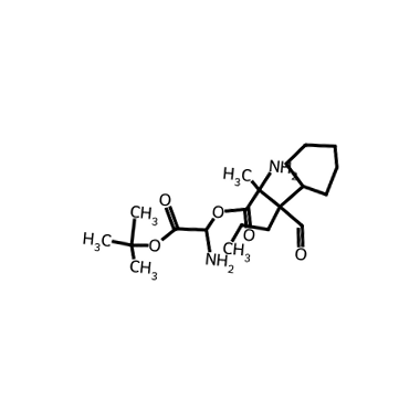 CCCC(C=O)(C1CCCCC1)C(C)(N)C(=O)OC(N)C(=O)OC(C)(C)C